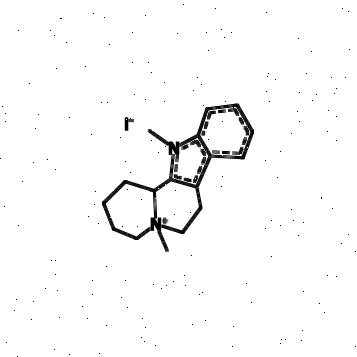 Cn1c2c(c3ccccc31)CC[N+]1(C)CCCCC21.[I-]